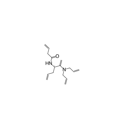 C=CC[C](NC(=O)CC=C)C(=C)N(CC=C)CC=C